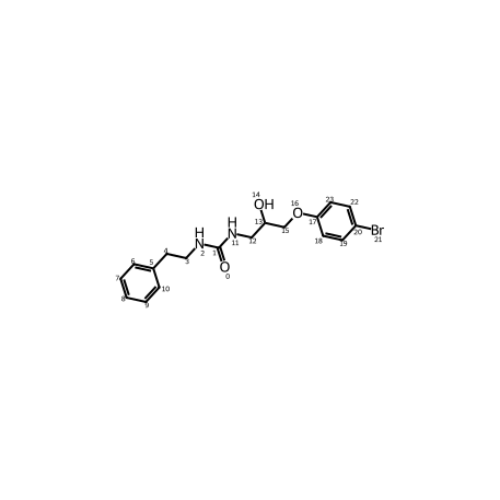 O=C(NCCc1ccccc1)NCC(O)COc1ccc(Br)cc1